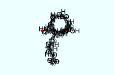 CC[C@H](C)[C@@H]1NC(=O)CNC(=O)CNC(=O)[C@H]([C@@H](C)[C@@H](O)CO)NC(=O)[C@@H]2CCCN2[C@@H](O)[C@H](CC(=O)NCc2ccc(NC(=O)[C@H](C)NC(=O)CNC(=O)CCN3C(=O)C=CC3=O)cc2)NC(=O)C(CSc2[nH]c3ccccc3c2C)NC(=O)CNC1=O